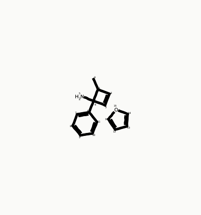 CC1C=CC1(N)c1ccccc1.c1ccoc1